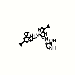 O[C@H]1CNCC[C@@H]1CNc1cc(NCc2cn3cc(C4CC4)cc(C(F)(F)F)c3n2)n2ncc(C3CC3)c2n1